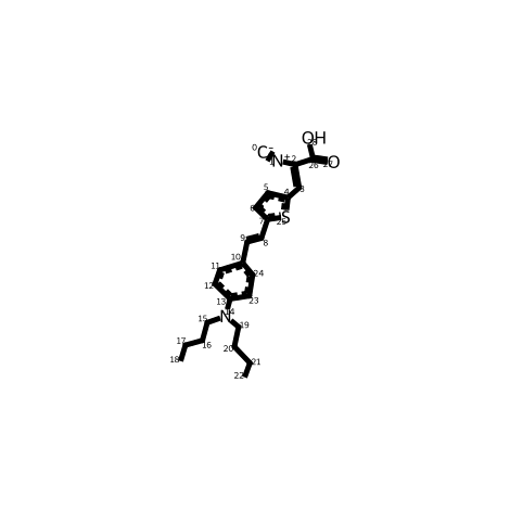 [C-]#[N+]/C(=C\c1ccc(/C=C/c2ccc(N(CCCC)CCCC)cc2)s1)C(=O)O